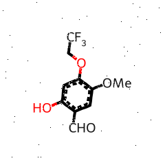 COc1cc(C=O)c(O)cc1OCC(F)(F)F